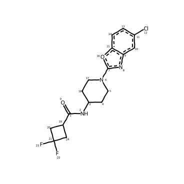 O=C(NC1CCN(c2nc3cc(Cl)ccc3o2)CC1)C1CC(F)(F)C1